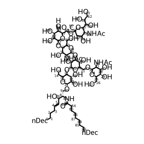 CCCCCCCCCCCCC/C=C/[C@@H](O)[C@H](CO[C@@H]1OC(CO)[C@@H](O[C@@H]2OC(CO[C@@H]3OC(CO)[C@@H](O)[C@H](O)C3NC(C)=O)[C@H](O)[C@H](O[C@@H]3OC(CO)[C@@H](O[C@@H]4OC(CO[C@]5(C(=O)O)CC(O)[C@@H](NC(C)=O)C([C@H](O)[C@H](O)CO)O5)[C@H](O)[C@H](O)C4O)[C@H](O)C3NC(C)=O)C2O)[C@H](O)C1O)NC(=O)CCCCCCCCCCCCCCCCC